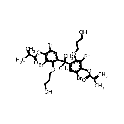 C=C(C)C(=O)Oc1c(Br)cc(C(C)(C)c2cc(Br)c(OC(=O)C(=C)C)c(Br)c2OCCCO)c(OCCCO)c1Br